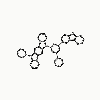 c1ccc(-c2cc(-c3ccc4sc5ccccc5c4c3)nc(-n3c4ccccc4c4cc5c(cc43)c3ccccc3n5-c3ccccc3)c2)cc1